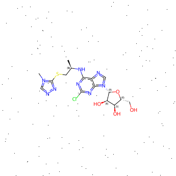 C[C@H](CSc1nncn1C)Nc1nc(Cl)nc2c1ncn2[C@@H]1O[C@H](CO)[C@@H](O)[C@H]1O